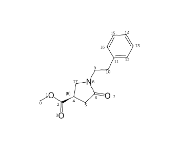 COC(=O)[C@@H]1CC(=O)N(CCc2ccccc2)C1